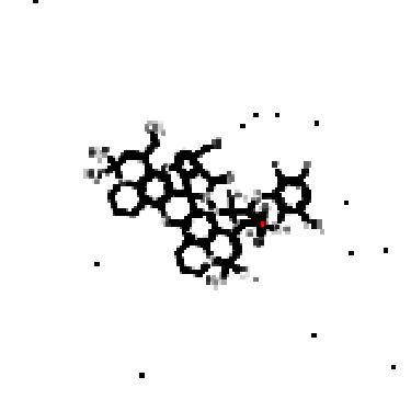 CCC1=CC(C)(C)N2CCCc3c4c(cc1c32)C1(c2cc3c5c(c2O4)CCCN5C(C)(C)C=C3CS(=O)(=O)O)c2c(Cl)ccc(Cl)c2C(=O)N1OC(C)(C)C(=O)Oc1c(F)c(C)cc(F)c1F